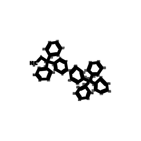 CC[B-](c1ccccc1)(c1ccccc1)c1ccccc1.c1ccc([P+](c2ccccc2)(c2ccccc2)c2ccccc2)cc1